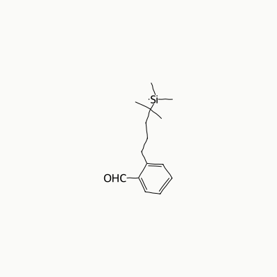 C[Si](C)C(C)(C)CCCc1ccccc1C=O